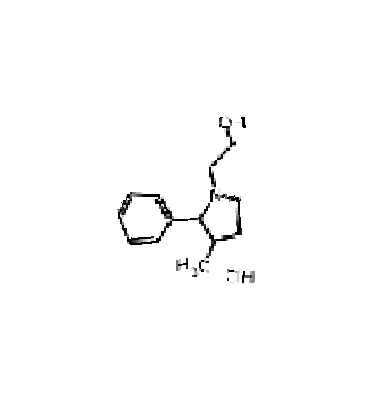 CC1CCN(CCO)C1c1ccccc1.Cl